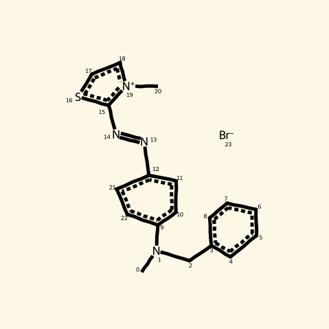 CN(Cc1ccccc1)c1ccc(/N=N/c2scc[n+]2C)cc1.[Br-]